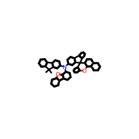 CC1(C)c2ccccc2-c2ccc(N(c3ccc4c(c3)C3(c5ccccc5Oc5c3ccc3ccccc53)c3ccccc3-4)c3cccc4c3oc3ccccc34)cc21